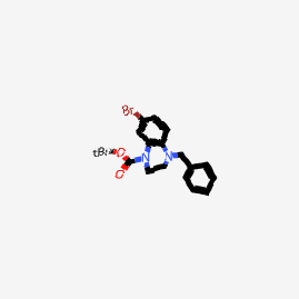 CC(C)(C)OC(=O)N1CCN(Cc2ccccc2)c2ccc(Br)cc21